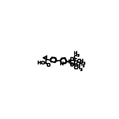 CC1(C)OB(c2ccc(-c3ccc(C4(C(=O)O)CC4)cc3)nc2)OC1(C)C